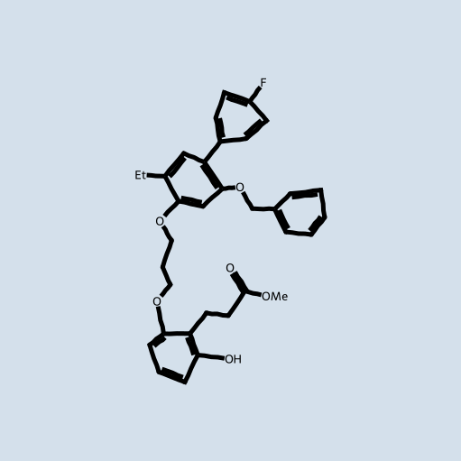 CCc1cc(-c2ccc(F)cc2)c(OCc2ccccc2)cc1OCCCOc1cccc(O)c1CCC(=O)OC